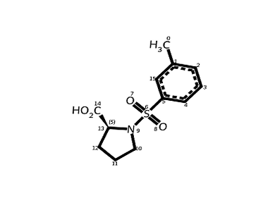 Cc1cccc(S(=O)(=O)N2CCC[C@H]2C(=O)O)c1